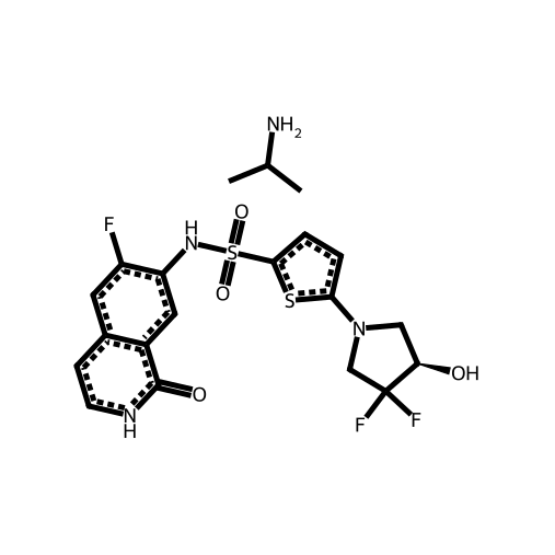 CC(C)N.O=c1[nH]ccc2cc(F)c(NS(=O)(=O)c3ccc(N4C[C@@H](O)C(F)(F)C4)s3)cc12